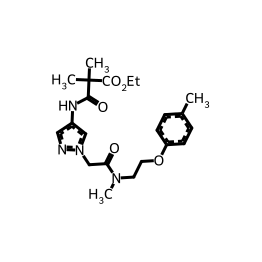 CCOC(=O)C(C)(C)C(=O)Nc1cnn(CC(=O)N(C)CCOc2ccc(C)cc2)c1